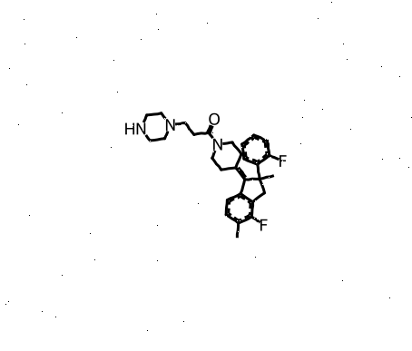 Cc1ccc2c(c1F)CC(C)(c1ccccc1F)C2=C1CCN(C(=O)CCN2CCNCC2)CC1